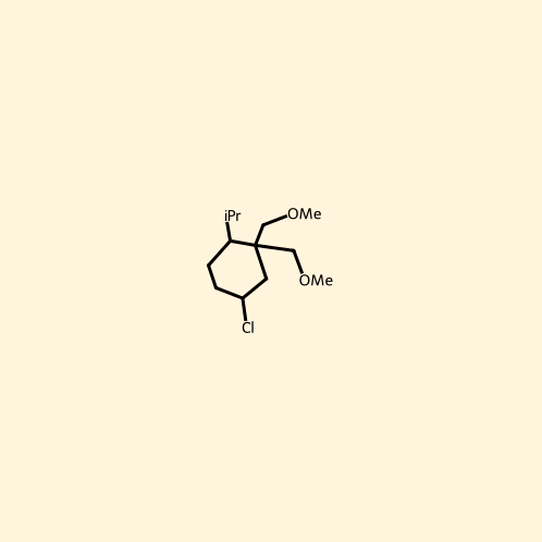 COCC1(COC)CC(Cl)CCC1C(C)C